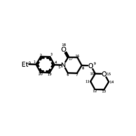 CCc1ccc(N2CCC(OC3CCCCO3)CC2=O)cc1